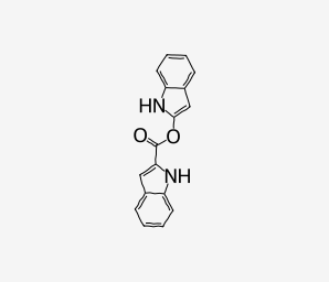 O=C(Oc1cc2ccccc2[nH]1)c1cc2ccccc2[nH]1